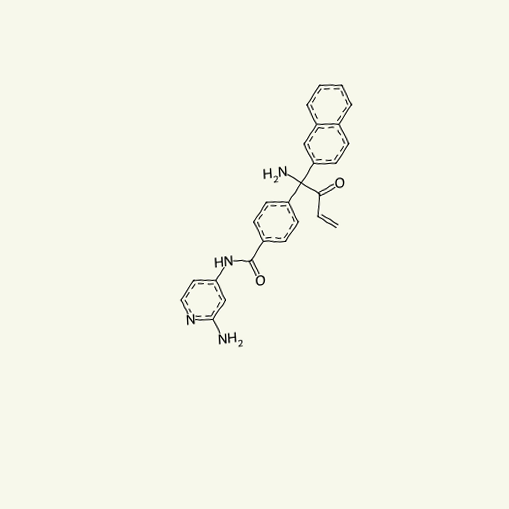 C=CC(=O)C(N)(c1ccc(C(=O)Nc2ccnc(N)c2)cc1)c1ccc2ccccc2c1